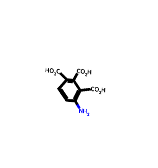 Nc1ccc(C(=O)O)c(C(=O)O)c1C(=O)O